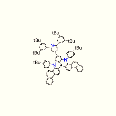 CC(C)(C)c1ccc(N2c3cc(-c4cc(-c5cc(C(C)(C)C)cc(C(C)(C)C)c5)nc(-c5cc(C(C)(C)C)cc(C(C)(C)C)c5)c4)cc4c3B(c3ccc5c(ccc6ccccc65)c32)c2ccc3c(ccc5ccccc53)c2N4c2ccc(C(C)(C)C)cc2)cc1